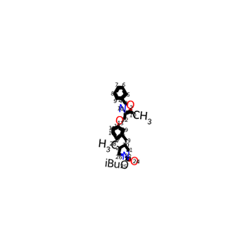 Cc1oc(-c2ccccc2)nc1COc1cccc(C[C@@H]2CN(C(=O)OCC(C)C)C[C@@H]2C)c1